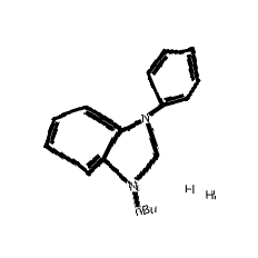 CCCCN1CN(c2ccccc2)c2ccccc21.I.I